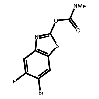 CNC(=O)Oc1nc2cc(F)c(Br)cc2s1